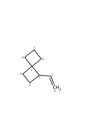 C=CC1CCC12CCC2